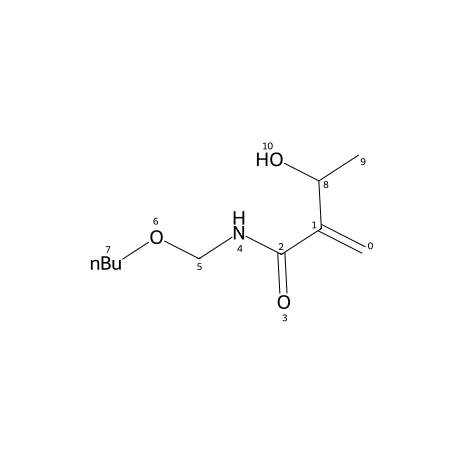 C=C(C(=O)NCOCCCC)C(C)O